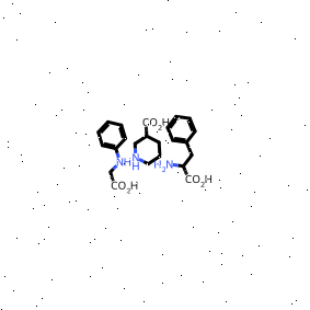 NC(Cc1ccccc1)C(=O)O.O=C(O)C1CCCNC1.O=C(O)CNc1ccccc1